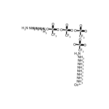 N.N.N.N.N.N.N.N.N.N.N.N.N.N.N.O=S(=O)([O-])C(F)(F)F.O=S(=O)([O-])C(F)(F)F.O=S(=O)([O-])C(F)(F)F.O=S(=O)([O-])C(F)(F)F.[Os+4]